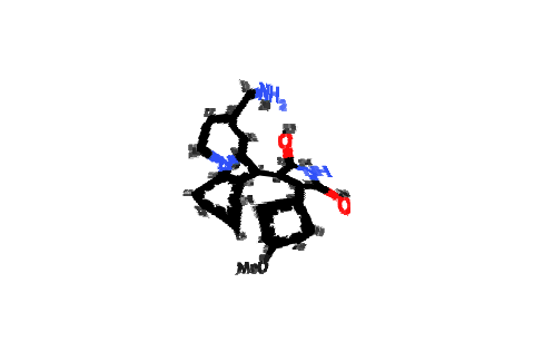 COc1ccc(C2=C(c3c4n(c5ccccc35)CCC(CN)C4)C(=O)NC2=O)cc1